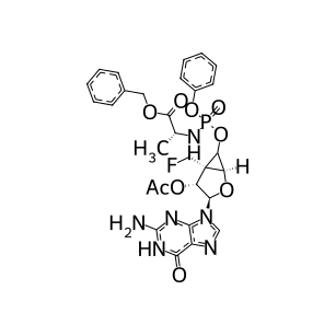 CC(=O)O[C@H]1[C@H](n2cnc3c(=O)[nH]c(N)nc32)O[C@@H]2C(OP(=O)(N[C@H](C)C(=O)OCc3ccccc3)Oc3ccccc3)[C@@]21CF